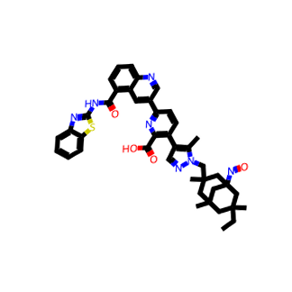 CCC1(C)CC2(C)CC(C)(Cn3ncc(-c4ccc(-c5cnc6cccc(C(=O)Nc7nc8ccccc8s7)c6c5)nc4C(=O)O)c3C)CC(N=O)(C1)C2